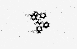 C[C@@H]1CN(C(=O)C(=O)Nc2cnc(N)c3cnn(C4CCCCO4)c23)[C@@H](c2ccccc2)CC1(F)F